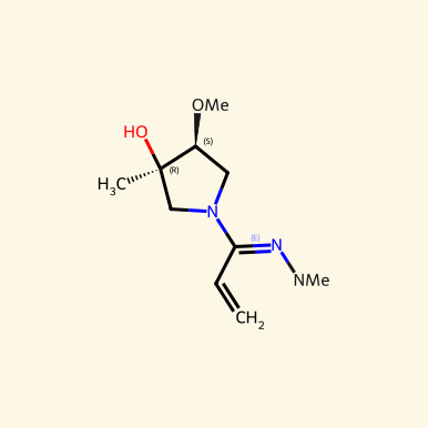 C=C/C(=N\NC)N1C[C@H](OC)[C@](C)(O)C1